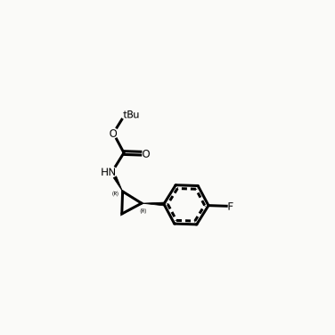 CC(C)(C)OC(=O)N[C@@H]1C[C@@H]1c1ccc(F)cc1